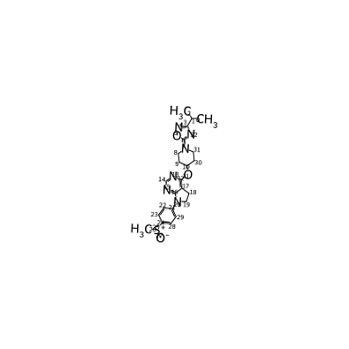 CC(C)c1noc(N2CCC(Oc3ncnc4c3CCN4c3ccc([S@@+](C)[O-])cc3)CC2)n1